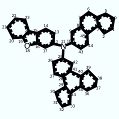 c1ccc2c(c1)ccc1cc(N(c3ccc4c(c3)oc3ccccc34)c3ccc4c5ccccc5c5ccccc5c4c3)ccc12